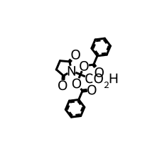 O=C(OC(OC(=O)c1ccccc1)(C(=O)O)N1C(=O)CCC1=O)c1ccccc1